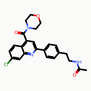 CC(=O)NCCc1ccc(-c2cc(C(=O)N3CCOCC3)c3ccc(Cl)cc3n2)cc1